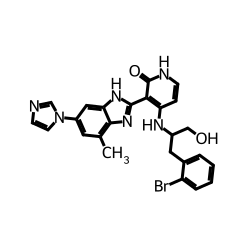 Cc1cc(-n2ccnc2)cc2[nH]c(-c3c(NC(CO)Cc4ccccc4Br)cc[nH]c3=O)nc12